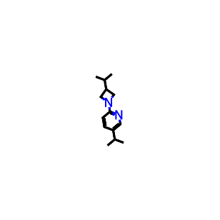 CC(C)c1ccc(N2CC(C(C)C)C2)nc1